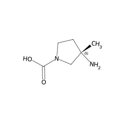 C[C@]1(N)CCN(C(=O)O)C1